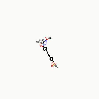 COC(=O)[C@@H](NC(=O)c1ccc(C#CC#Cc2ccc(COS(C)(=O)=O)cc2)cc1)[C@@H](C)NC(=O)OC(C)(C)C